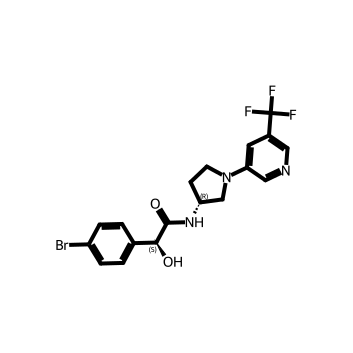 O=C(N[C@@H]1CCN(c2cncc(C(F)(F)F)c2)C1)[C@@H](O)c1ccc(Br)cc1